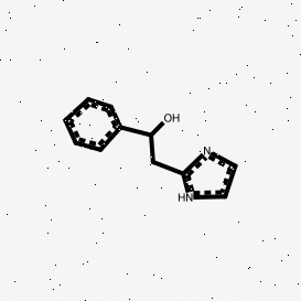 OC(Cc1ncc[nH]1)c1ccccc1